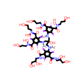 CC(=O)N(CC(O)(CN(C(C)=O)c1c(I)c(C(=O)N(O)CCCO)c(I)c(C(=O)N(O)CCCO)c1I)CN(C(C)=O)c1c(I)c(C(=O)N(O)CCCO)c(I)c(C(=O)N(O)CCCO)c1I)c1c(I)c(C(=O)NCC(O)CO)c(I)c(C(=O)NCC(O)CO)c1I